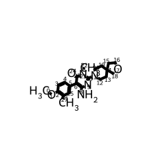 COc1ccc(-c2c(N)nc(N3CCC4(CCOC4)CC3)n(C)c2=O)cc1C